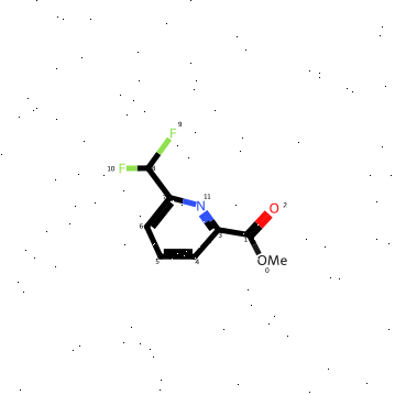 COC(=O)c1cccc(C(F)F)n1